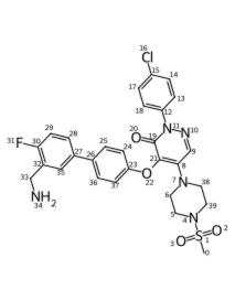 CS(=O)(=O)N1CCN(c2cnn(-c3ccc(Cl)cc3)c(=O)c2Oc2ccc(-c3ccc(F)c(CN)c3)cc2)CC1